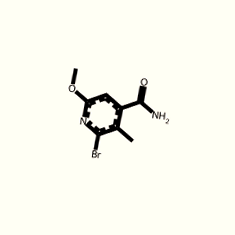 COc1cc(C(N)=O)c(C)c(Br)n1